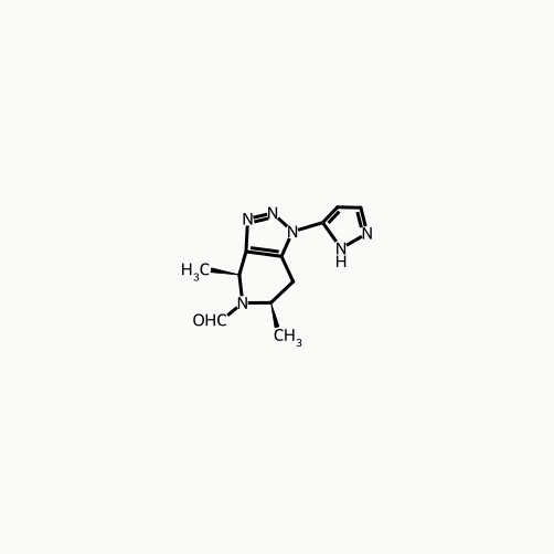 C[C@@H]1Cc2c(nnn2-c2ccn[nH]2)[C@H](C)N1C=O